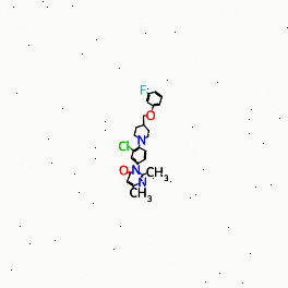 Cc1cc(=O)n(-c2ccc(N3CCC(COc4cccc(F)c4)CC3)c(Cl)c2)c(C)n1